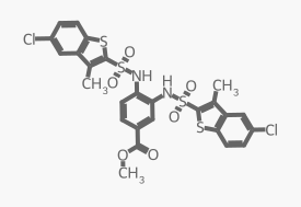 COC(=O)c1ccc(NS(=O)(=O)c2sc3ccc(Cl)cc3c2C)c(NS(=O)(=O)c2sc3ccc(Cl)cc3c2C)c1